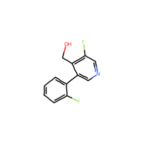 OCc1c(F)cncc1-c1ccccc1F